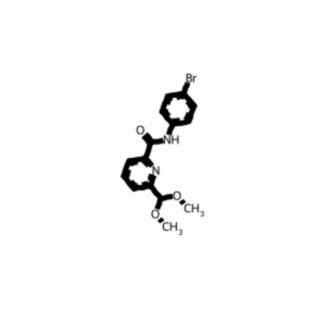 COC(OC)c1cccc(C(=O)Nc2ccc(Br)cc2)n1